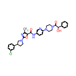 O=C(Nc1ccc(N2CCN(C(=O)C(O)c3ccccc3)CC2)nc1)c1oc(N2CCC(c3cccc(Cl)c3)C2)nc1C(F)(F)F